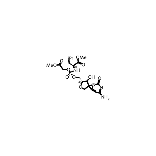 COC(=O)COP(=O)(N[C@@H](CC(C)C)C(=O)OC)OC[C@H]1OCC2(c3cc(N)nc(=O)n32)C1O